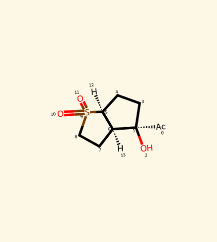 CC(=O)[C@@]1(O)CC[C@H]2[C@@H]1CCS2(=O)=O